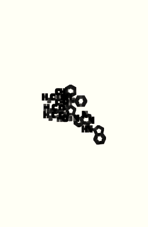 CC(C)(C)OC1C(O)C(n2ccc3c(NC4CCc5ccccc54)ncnc32)CC1C(O[SiH2]C(C)(C)C)(c1ccccc1)c1ccccc1